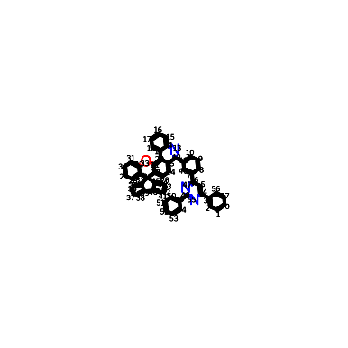 c1ccc(-c2cc(-c3cccc(-c4nc5ccccc5c5c6c(ccc45)C4(c5ccccc5O6)c5ccccc5-c5ccccc54)c3)nc(-c3ccccc3)n2)cc1